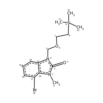 Cn1c(=O)n(COCC[Si](C)(C)C)c2cncc(Br)c21